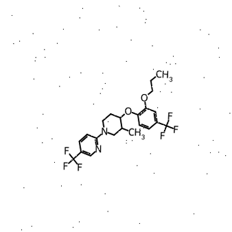 CCCOc1cc(C(F)(F)F)ccc1OC1CCN(c2ccc(C(F)(F)F)cn2)CC1C